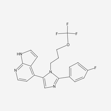 Fc1ccc(-c2ncc(-c3ccnc4[nH]ccc34)n2CCCOC(F)(F)F)cc1